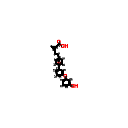 O=C(O)C1CC1CCC12CCC(c3cccc(Oc4cccc(O)c4)c3)(CC1)OC2